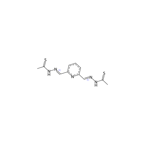 CC(=S)N/N=C/c1cccc(/C=N/NC(C)=S)n1